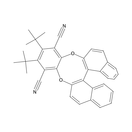 CC(C)(C)c1c(C(C)(C)C)c(C#N)c2oc3ccc4ccccc4c3c3c(ccc4ccccc43)oc2c1C#N